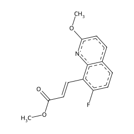 COC(=O)C=Cc1c(F)ccc2ccc(OC)nc12